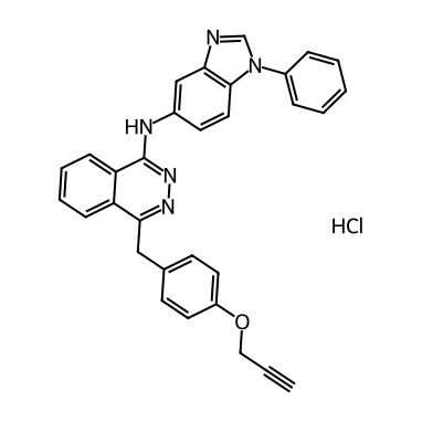 C#CCOc1ccc(Cc2nnc(Nc3ccc4c(c3)ncn4-c3ccccc3)c3ccccc23)cc1.Cl